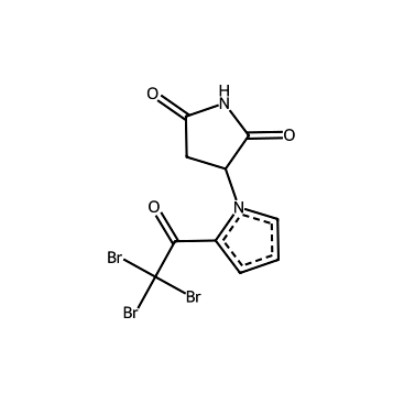 O=C1CC(n2cccc2C(=O)C(Br)(Br)Br)C(=O)N1